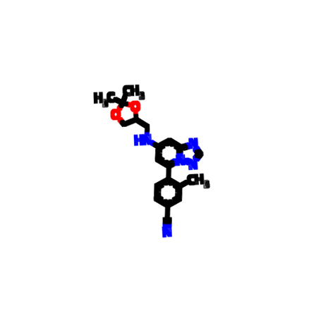 Cc1cc(C#N)ccc1-c1cc(NCC2COC(C)(C)O2)cc2ncnn12